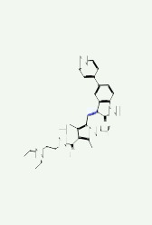 CCN(CC)CCNC(=O)c1c(C)[nH]c(/C=C2\C(=O)Nc3ccc(-c4ccncc4)cc32)c1C